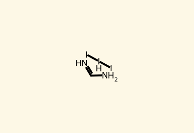 I[IH]I.N=CN